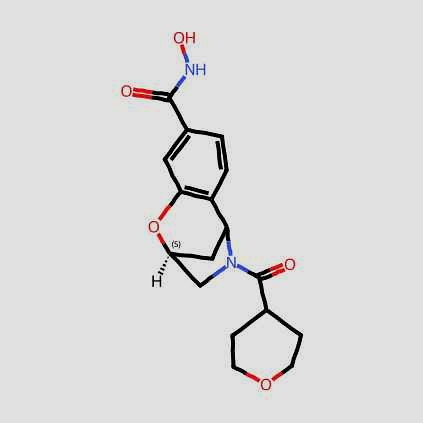 O=C(NO)c1ccc2c(c1)O[C@H]1CC2N(C(=O)C2CCOCC2)C1